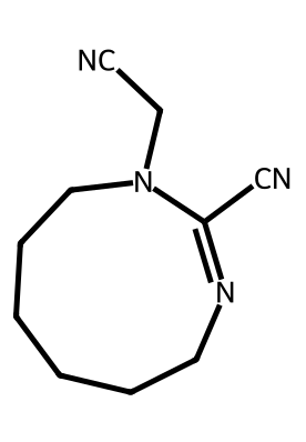 N#CCN1CCCCCCN=C1C#N